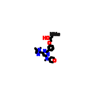 CNCC(O)COc1cccc(-c2nc(-c3ncc(C)n3C)cc(N(C)C3CCOCC3)n2)c1